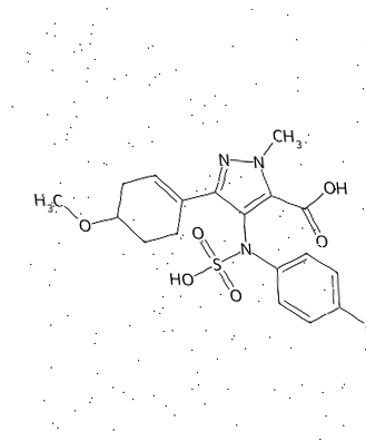 COC1CC=C(c2nn(C)c(C(=O)O)c2N(c2ccc(Cl)cc2)S(=O)(=O)O)CC1